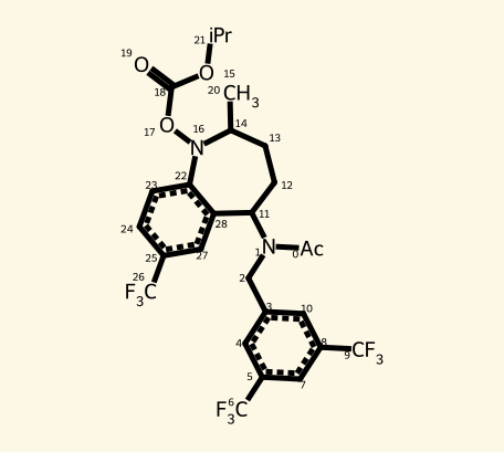 CC(=O)N(Cc1cc(C(F)(F)F)cc(C(F)(F)F)c1)C1CCC(C)N(OC(=O)OC(C)C)c2ccc(C(F)(F)F)cc21